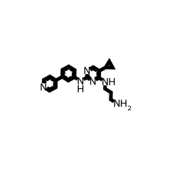 NCCCNc1nc(Nc2cccc(-c3ccncc3)c2)ncc1C1CC1